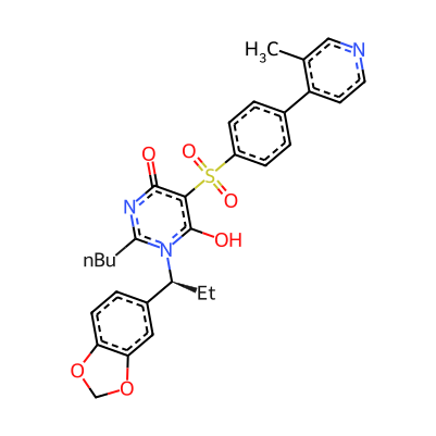 CCCCc1nc(=O)c(S(=O)(=O)c2ccc(-c3ccncc3C)cc2)c(O)n1[C@@H](CC)c1ccc2c(c1)OCO2